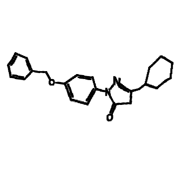 O=C1CC(C2CCCCC2)=NN1c1ccc(OCc2ccccc2)cc1